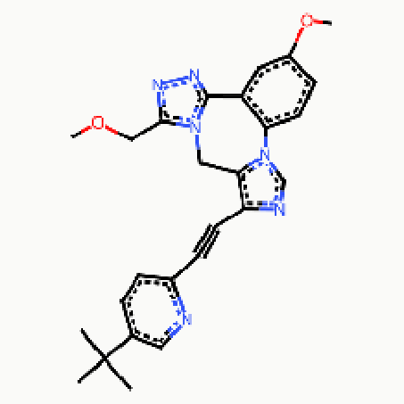 COCc1nnc2n1Cc1c(C#Cc3ccc(C(C)(C)C)cn3)ncn1-c1ccc(OC)cc1-2